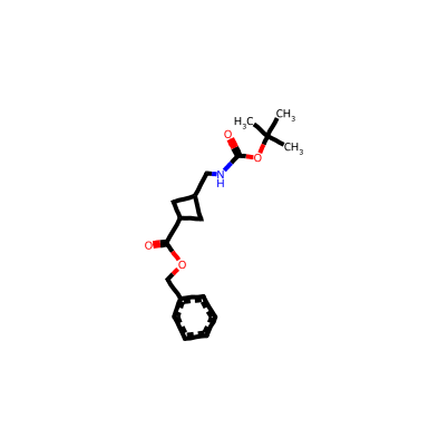 CC(C)(C)OC(=O)NCC1CC(C(=O)OCc2ccccc2)C1